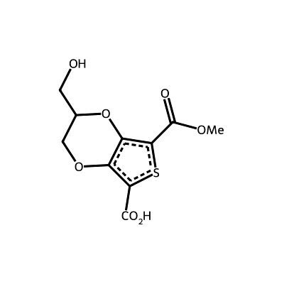 COC(=O)c1sc(C(=O)O)c2c1OC(CO)CO2